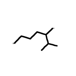 [CH2]CCCC([CH2])C(C)C